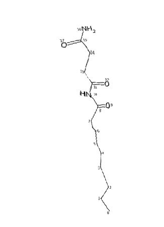 CCCCCCCCC(=O)NC(=O)CCC(N)=O